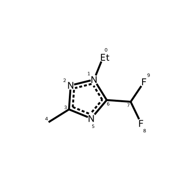 CCn1nc(C)nc1C(F)F